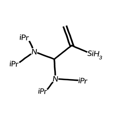 C=C([SiH3])C(N(C(C)C)C(C)C)N(C(C)C)C(C)C